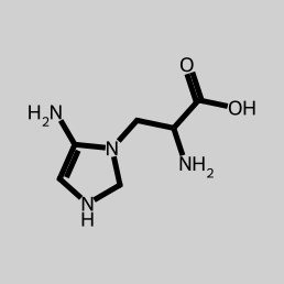 NC1=CNCN1CC(N)C(=O)O